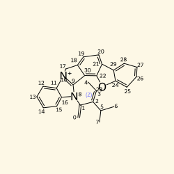 C=C(/C(=C\C)C(C)C)n1c2[n+](c3ccccc31)Cc1ccc3c(oc4ccccc43)c1-2